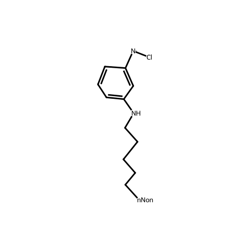 CCCCCCCCCCCCCCNc1cccc([N]Cl)c1